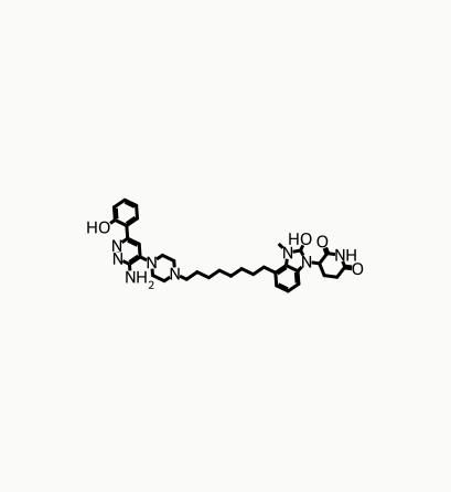 CN1c2c(CCCCCCCCN3CCN(c4cc(-c5ccccc5O)nnc4N)CC3)cccc2N(C2CCC(=O)NC2=O)C1O